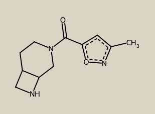 Cc1cc(C(=O)N2CCC3CNC3C2)on1